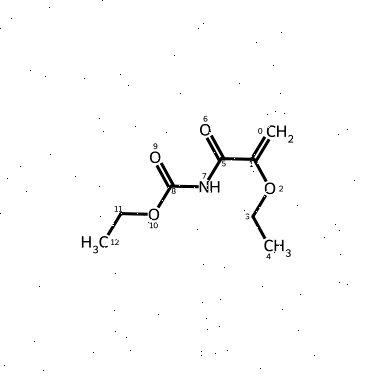 C=C(OCC)C(=O)NC(=O)OCC